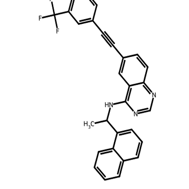 CC(Nc1ncnc2ccc(C#Cc3cccc(C(F)(F)F)c3)cc12)c1cccc2ccccc12